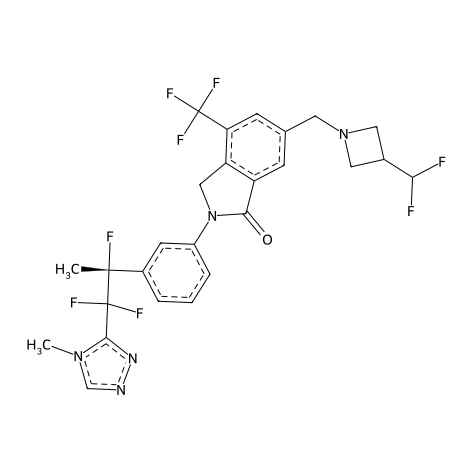 Cn1cnnc1C(F)(F)[C@](C)(F)c1cccc(N2Cc3c(cc(CN4CC(C(F)F)C4)cc3C(F)(F)F)C2=O)c1